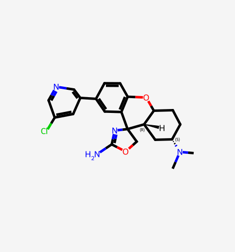 CN(C)[C@H]1CCC2Oc3ccc(-c4cncc(Cl)c4)cc3C3(COC(N)=N3)[C@H]2C1